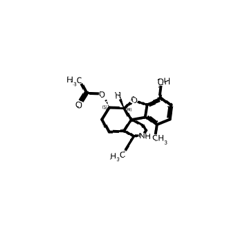 CC(=O)O[C@H]1CCC2C(C)NCCC23c2c(C)ccc(O)c2O[C@@H]13